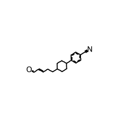 N#Cc1ccc(C2CCC(CCC=CC=O)CC2)cc1